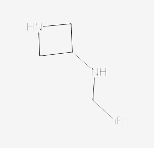 CC(C)CNC1CNC1